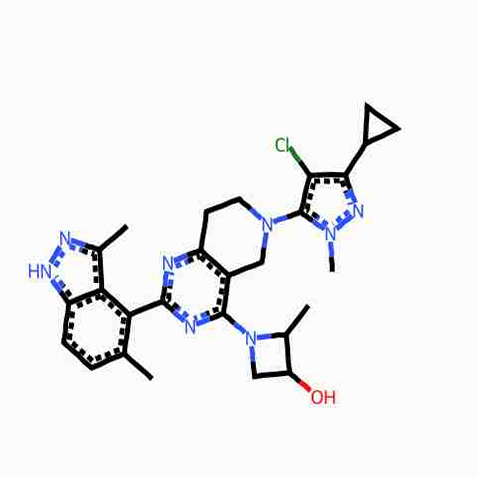 Cc1ccc2[nH]nc(C)c2c1-c1nc2c(c(N3CC(O)C3C)n1)CN(c1c(Cl)c(C3CC3)nn1C)CC2